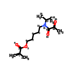 C=C(C)C(=O)OCCCCCN(C(=O)C(C)=O)C(C)C